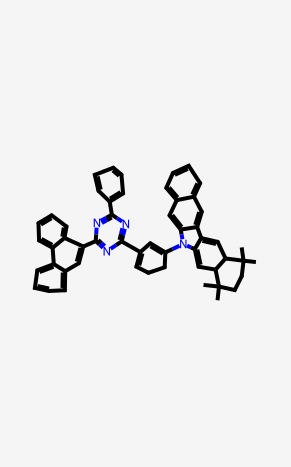 CC1(C)CCC(C)(C)C2C=c3c(c4cc5ccccc5cc4n3C3=CC(c4nc(-c5ccccc5)nc(-c5cc6ccccc6c6ccccc56)n4)=CCC3)=CC21